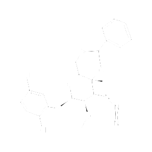 CO[C@@H]1C(N=[N+]=[N-])[C@H]2OC(c3ccccc3)OCC2O[C@@H]1Sc1cc(Cl)ccc1Cl